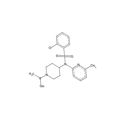 CB(O)N1CCC(N(c2cccc(C)n2)S(=O)(=O)c2ccccc2Cl)CC1